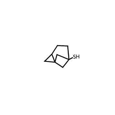 SC12CCC3CC3(C1)C2